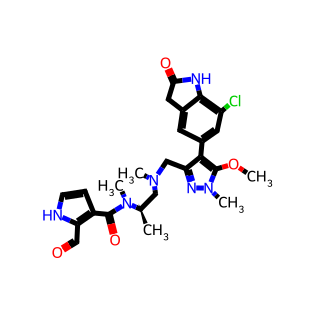 COc1c(-c2cc(Cl)c3c(c2)CC(=O)N3)c(CN(C)C[C@@H](C)N(C)C(=O)c2cc[nH]c2C=O)nn1C